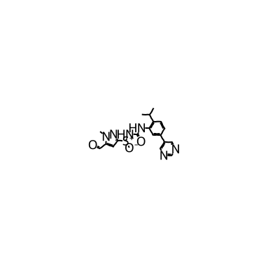 CC(C)c1ccc(-c2cncnc2)cc1NC(=O)N[S+]([O-])c1cc(C=O)n(C)n1